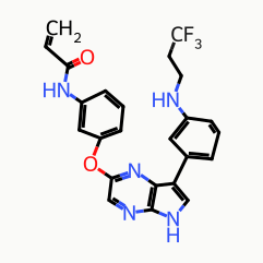 C=CC(=O)Nc1cccc(Oc2cnc3[nH]cc(-c4cccc(NCCC(F)(F)F)c4)c3n2)c1